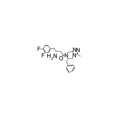 Cc1nnc2n1CC(Cc1ccccc1)N(C(=O)C[C@H](N)Cc1ccc(F)c(F)c1)C2